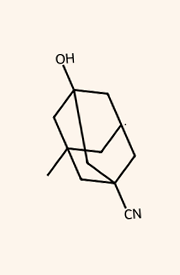 CC12C[C]3CC(O)(C1)CC(C#N)(C3)C2